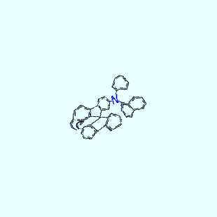 c1ccc(N(c2ccc3c(c2)C2(c4ccccc4-c4ccccc42)c2c-3ccc3ccccc23)c2cccc3ccccc23)cc1